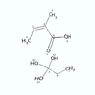 CC=C(C)C(=O)O.CCC(O)(O)O